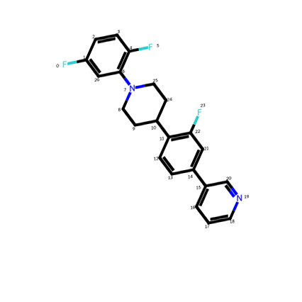 Fc1ccc(F)c(N2CCC(c3ccc(-c4cccnc4)cc3F)CC2)c1